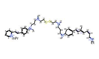 CCC[n+]1ccccc1/C=C/c1ccc(N(C)CCCN(C)CCSSCCN(C)CCCN(C)C2C=CC(/C=C/C(C)=C/C=C\C=N\CC)=CC2)cc1